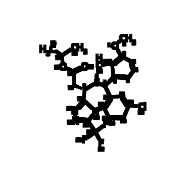 COc1cccc([C@@H]2S[C@@H](CC(=O)OC(C)C)c3nnc(C(F)(F)F)n3-c3ccc(Cl)cc32)c1C